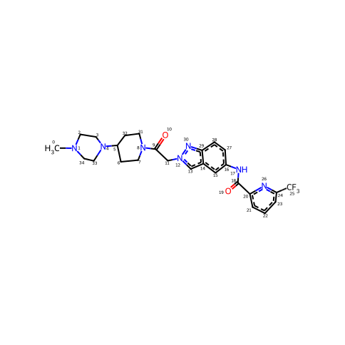 CN1CCN(C2CCN(C(=O)Cn3cc4cc(NC(=O)c5cccc(C(F)(F)F)n5)ccc4n3)CC2)CC1